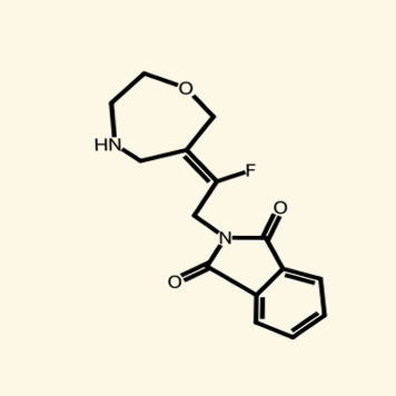 O=C1c2ccccc2C(=O)N1CC(F)=C1CNCCOC1